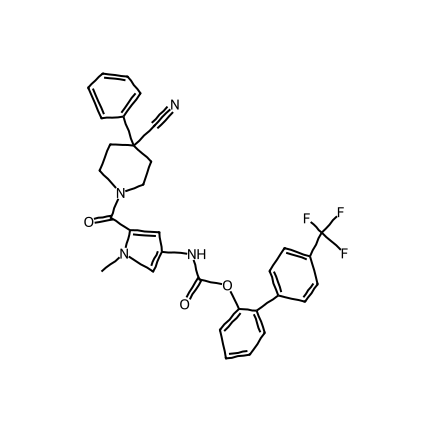 Cn1cc(NC(=O)Oc2ccccc2-c2ccc(C(F)(F)F)cc2)cc1C(=O)N1CCC(C#N)(c2ccccc2)CC1